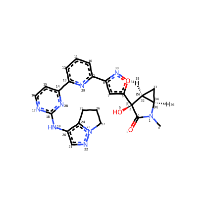 CN1C(=O)[C@](O)(c2cc(-c3cccc(-c4ccnc(Nc5cnn6c5CCC6)n4)n3)no2)[C@H]2C[C@H]21